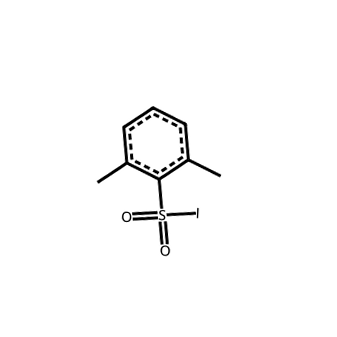 Cc1cccc(C)c1S(=O)(=O)I